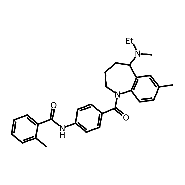 CCN(C)C1CCCN(C(=O)c2ccc(NC(=O)c3ccccc3C)cc2)c2ccc(C)cc21